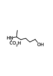 CC(CCCCO)NC(=O)O